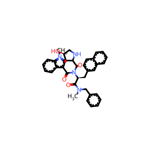 CN(Cc1ccccc1)C(=O)[C@H](Cc1ccc2ccccc2c1)N(C(=O)c1cn(C)c2ccccc12)C(=O)C1C[C@@H](O)CN1